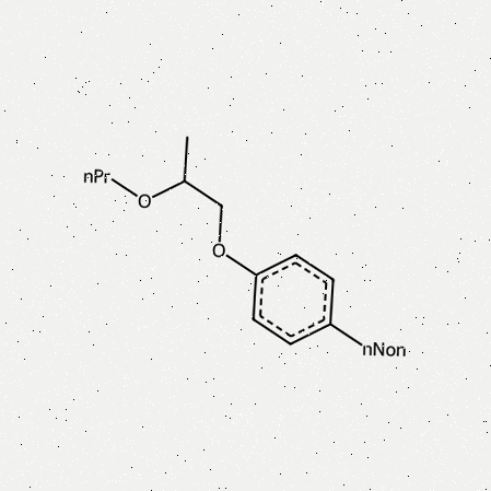 C[CH]COC(C)COc1ccc(CCCCCCCCC)cc1